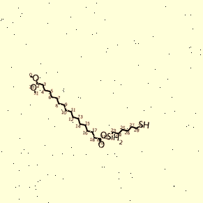 COC(CCCCCCCCCCCCCCCCC(=O)O[SiH2]CCCCCCS)OC